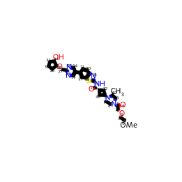 COCCOCC(=O)N1CCN([C@H]2C[C@@H](C(=O)Nc3nc4ccc(-c5cnc(CO[C@H]6CCC[C@@H]6O)nc5)cc4s3)C2)[C@@H](C)C1